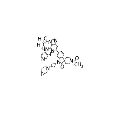 CC(=O)N1CCC2(CC1)C(=O)N([C@H]1C[C@@H](N3CCC4CC4C3)C1)c1cc(-c3cc4ncn(C(C)C)c4c(Nc4ccncc4F)n3)ccc12